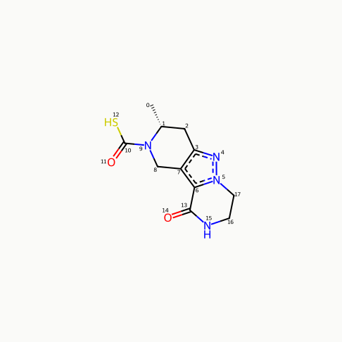 C[C@@H]1Cc2nn3c(c2CN1C(=O)S)C(=O)NCC3